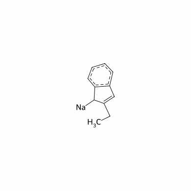 CCC1=Cc2ccccc2[CH]1[Na]